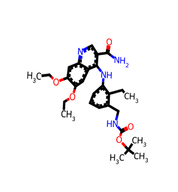 CCOc1cc2ncc(C(N)=O)c(Nc3cccc(CNC(=O)OC(C)(C)C)c3CC)c2cc1OCC